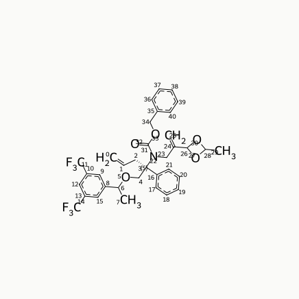 C=CC[C@@](COC(C)c1cc(C(F)(F)F)cc(C(F)(F)F)c1)(c1ccccc1)N(CC(=C)C1OC(C)O1)C(=O)OCc1ccccc1